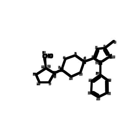 Cc1cc(N2CCN(N3CCC[C@H]3C=O)CC2)n(-c2ccccc2)n1